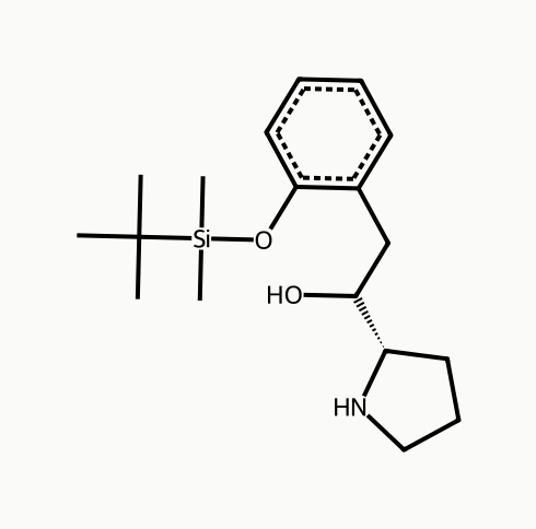 CC(C)(C)[Si](C)(C)Oc1ccccc1CC(O)[C@@H]1CCCN1